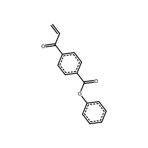 C=CC(=O)c1ccc(C(=O)Oc2ccccc2)cc1